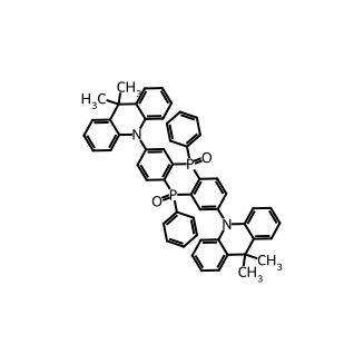 CC1(C)c2ccccc2N(c2ccc3c(c2)P(=O)(c2ccccc2)c2ccc(N4c5ccccc5C(C)(C)c5ccccc54)cc2P3(=O)c2ccccc2)c2ccccc21